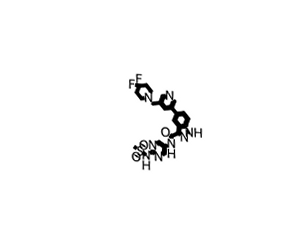 CS(=O)(=O)Nc1ncc(NC(=O)c2n[nH]c3ccc(-c4cncc(CN5CCC(F)(F)CC5)c4)cc23)cn1